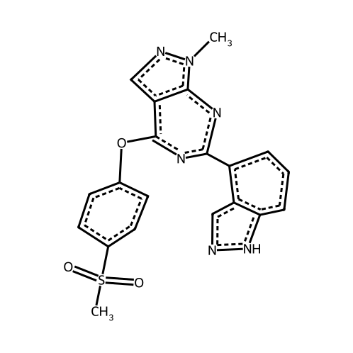 Cn1ncc2c(Oc3ccc(S(C)(=O)=O)cc3)nc(-c3cccc4[nH]ncc34)nc21